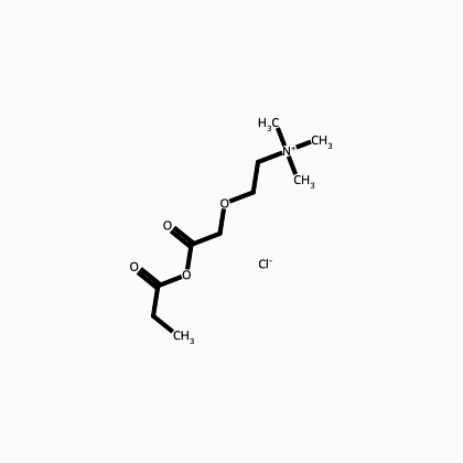 CCC(=O)OC(=O)COCC[N+](C)(C)C.[Cl-]